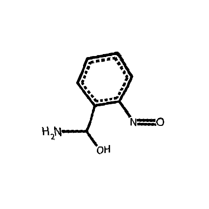 NC(O)c1ccccc1N=O